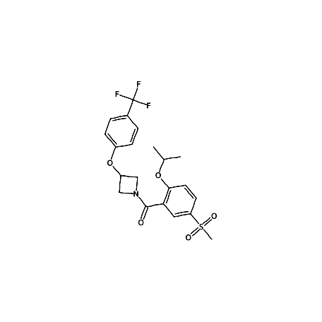 CC(C)Oc1ccc(S(C)(=O)=O)cc1C(=O)N1CC(Oc2ccc(C(F)(F)F)cc2)C1